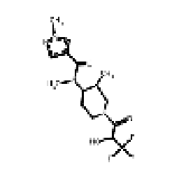 CC1CN(C(=O)C(O)C(F)(F)F)CCC1N(C)C(=O)c1cnn(C)c1